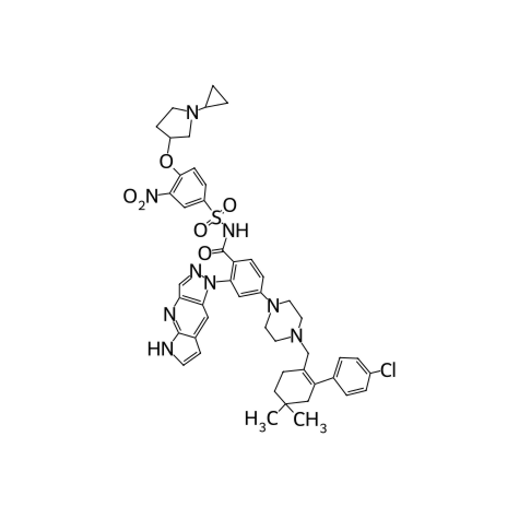 CC1(C)CCC(CN2CCN(c3ccc(C(=O)NS(=O)(=O)c4ccc(OC5CCN(C6CC6)C5)c([N+](=O)[O-])c4)c(-n4ncc5nc6[nH]ccc6cc54)c3)CC2)=C(c2ccc(Cl)cc2)C1